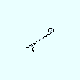 C=CC[S+](CC=C)CCCCCCCCCCC1CCCO1